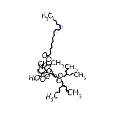 CCCCC/C=C\C/C=C\CCCCCCCC(=O)OCC(CC)C1C(OC(=O)CCC(OCC(CCC)CCC)OCC(CCC)CCC)C(C)(C(=O)O)CCN1C